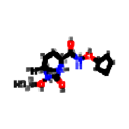 O=C(NOC1CCCC1)[C@@H]1CC[C@@H]2CN1C(=O)N2OS(=O)(=O)O